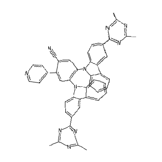 Cc1nc(C)nc(-c2ccc3c(c2)c2ccccc2n3-c2cc(C#N)c(-c3ccncc3)cc2-n2c3ccccc3c3cc(-c4nc(C)nc(C)n4)ccc32)n1